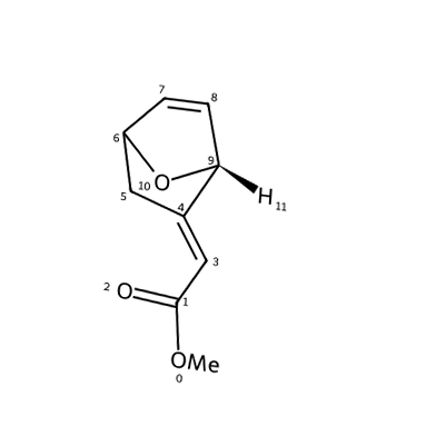 COC(=O)C=C1CC2C=C[C@H]1O2